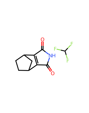 FC(F)F.O=C1NC(=O)C2=C1C1CCC2C1